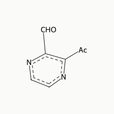 CC(=O)c1nccnc1C=O